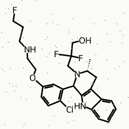 C[C@@H]1Cc2c([nH]c3ccccc23)C(c2cc(OCCNCCCF)ccc2Cl)N1CC(F)(F)CO